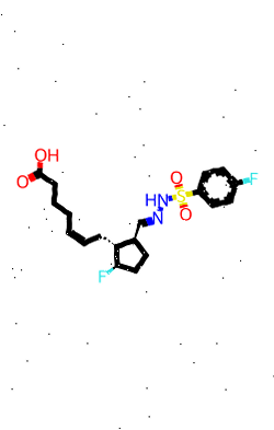 O=C(O)CCC/C=C\C[C@H]1[C@H](F)CC[C@@H]1/C=N/NS(=O)(=O)c1ccc(F)cc1